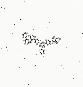 c1ccc(-c2nc(-c3ccc(-c4ccc5ccccc5c4)cc3)nc(-c3ccc(-c4cccc5c4oc4cccc(-c6ccccc6)c45)cc3)n2)cc1